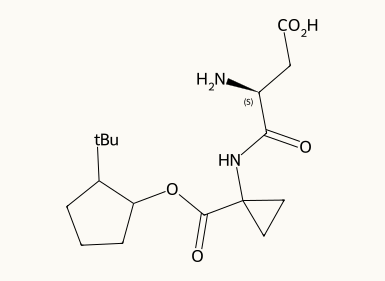 CC(C)(C)C1CCCC1OC(=O)C1(NC(=O)[C@@H](N)CC(=O)O)CC1